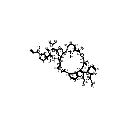 C=CC(=O)N1CC[C@](O)(C(=O)N(C)[C@H](C(=O)N[C@H]2Cc3coc(n3)-c3ccc4c(c3)c(c(-c3cccnc3[C@H](C)OC)n4CC)CC(C)(C)COC(=O)[C@@H]3CCCN(N3)C2=O)C(C)C)C1